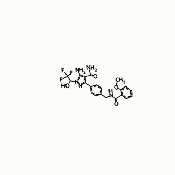 COc1ccccc1C(=O)NCc1ccc(-c2nn(C(O)C(F)(F)F)c(N)c2C(N)=O)cc1